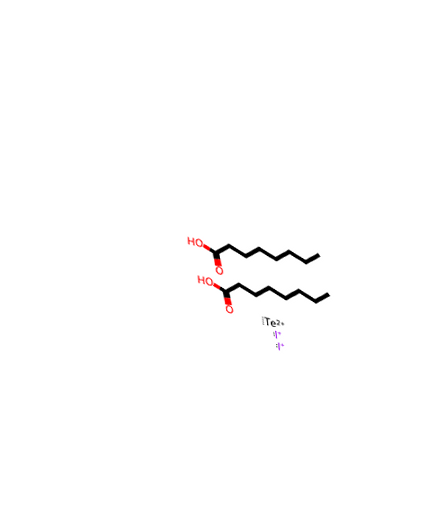 CCCCCCCC(=O)O.CCCCCCCC(=O)O.[I+].[I+].[Te+2]